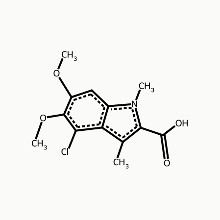 COc1cc2c(c(C)c(C(=O)O)n2C)c(Cl)c1OC